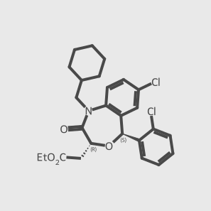 CCOC(=O)C[C@H]1O[C@H](c2ccccc2Cl)c2cc(Cl)ccc2N(CC2CCCCC2)C1=O